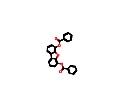 O=C(Oc1cccc2c1oc1c(OC(=O)c3ccccc3)cccc12)c1ccccc1